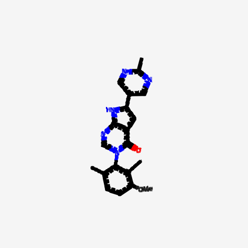 COc1ccc(C)c(-n2cnc3[nH]c(-c4cnc(C)nc4)cc3c2=O)c1C